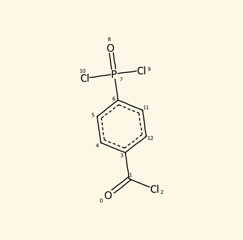 O=C(Cl)c1ccc(P(=O)(Cl)Cl)cc1